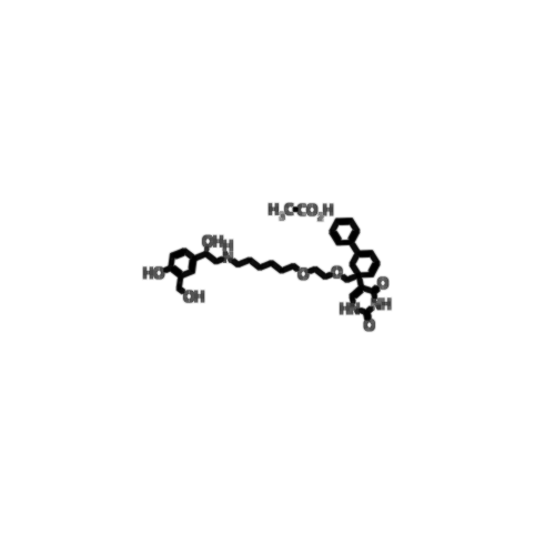 CC(=O)O.O=c1[nH]cc(C2(COCCOCCCCCCNC[C@H](O)c3ccc(O)c(CO)c3)C=CC=C(c3ccccc3)C2)c(=O)[nH]1